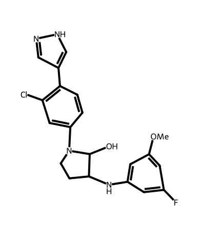 COc1cc(F)cc(NC2CCN(c3ccc(-c4cn[nH]c4)c(Cl)c3)C2O)c1